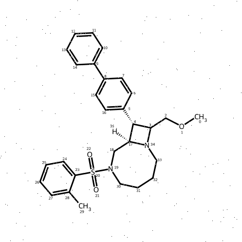 COCC1[C@@H](c2ccc(-c3ccccc3)cc2)[C@@H]2CN(S(=O)(=O)c3ccccc3C)CCCCN12